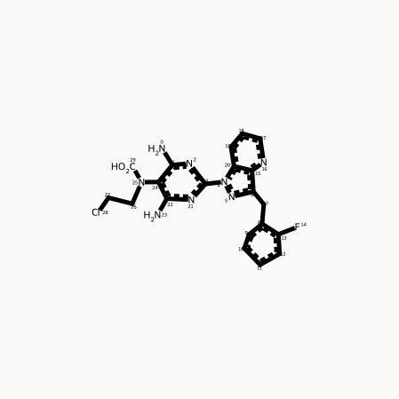 Nc1nc(-n2nc(Cc3ccccc3F)c3ncccc32)nc(N)c1N(CCCl)C(=O)O